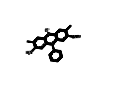 CNc1cc2c(cc1C)nc1cc(C)c(N)cc1[n+]2-c1ccccc1.[Cl-]